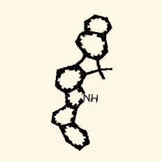 CC1(C)c2cc3ccccc3cc2-c2ccc3c([nH]c4c5ccccc5ccc34)c21